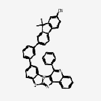 CC1(C)c2cc(C#N)ccc2-c2ccc(-c3cccc(-c4ccc5sc6nc7c8ccccc8nc(-c8ccccc8)c7n6c5c4)c3)cc21